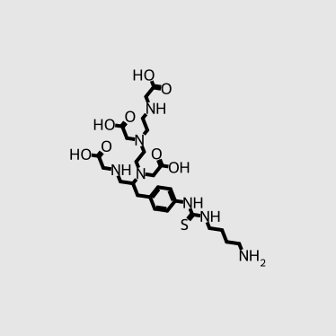 NCCCCNC(=S)Nc1ccc(CC(CNCC(=O)O)N(CCN(CCNCC(=O)O)CC(=O)O)CC(=O)O)cc1